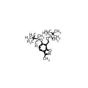 Cc1noc2c(CO[Si](C)(C)C(C)(C)C)c(O[Si](C)(C)C(C)(C)C)ccc12